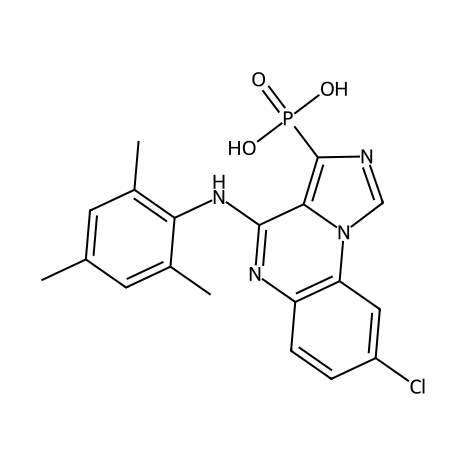 Cc1cc(C)c(Nc2nc3ccc(Cl)cc3n3cnc(P(=O)(O)O)c23)c(C)c1